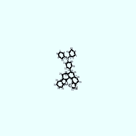 c1ccc(N(c2ccccc2)c2ccc(-c3cc4ccc5ncoc5c4c4c3ccc3c5ccccc5oc34)cc2)cc1